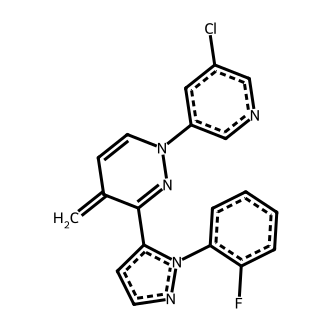 C=C1C=CN(c2cncc(Cl)c2)N=C1c1ccnn1-c1ccccc1F